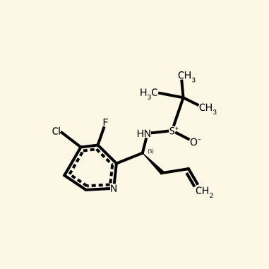 C=CC[C@H](N[S+]([O-])C(C)(C)C)c1nccc(Cl)c1F